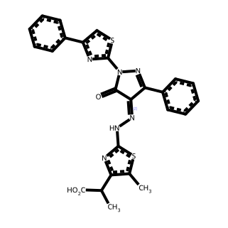 Cc1sc(N/N=C2\C(=O)N(c3nc(-c4ccccc4)cs3)N=C2c2ccccc2)nc1C(C)C(=O)O